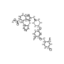 CCn1cncc1Cn1c(CN2CCC(Oc3ccc(F)c(OCc4ccc(Cl)cc4F)n3)CC2)nc2ccc(C(=O)OC)cc21